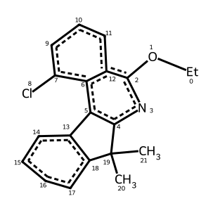 CCOc1nc2c(c3c(Cl)cccc13)-c1ccccc1C2(C)C